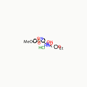 CCO[C@H]1CC[C@H](CC(=O)NN(O)Cc2ccnc(S(=O)(=O)c3ccc(OC)cc3)c2)CC1.Cl